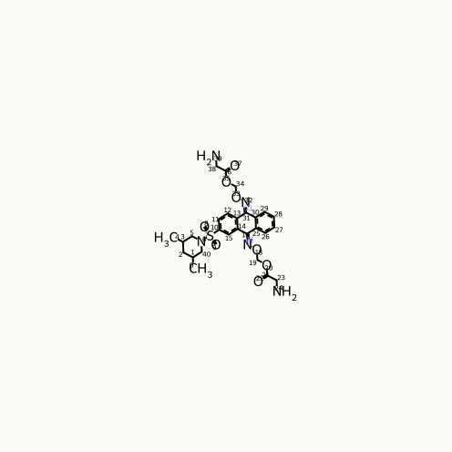 CC1CC(C)CN(S(=O)(=O)c2ccc3c(c2)/C(=N/OCOC(=O)CN)c2ccccc2/C3=N/OCOC(=O)CN)C1